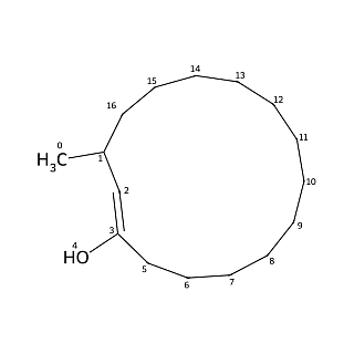 CC1/C=C(\O)CCCCCCCCCCCC1